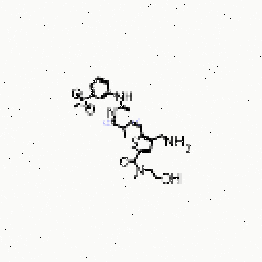 C=C(/N=C\C(C)/C=C\c1sc(C(=O)N(C)CCO)cc1CN)Nc1cccc(S(C)(=O)=O)c1